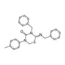 Cc1ccc(N2CSC(=NCc3ccccc3)N(Cc3ccccc3)C2=O)cc1